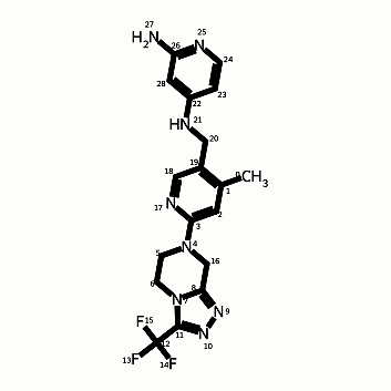 Cc1cc(N2CCn3c(nnc3C(F)(F)F)C2)ncc1CNc1ccnc(N)c1